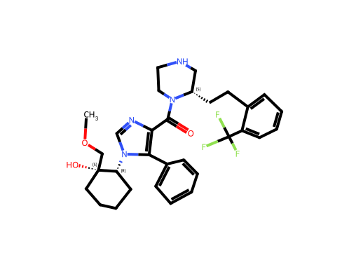 COC[C@]1(O)CCCC[C@H]1n1cnc(C(=O)N2CCNC[C@@H]2CCc2ccccc2C(F)(F)F)c1-c1ccccc1